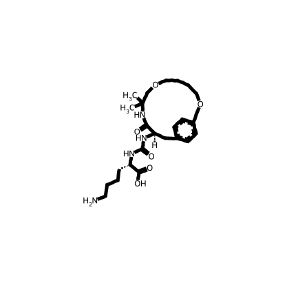 CC1(C)COCCCCOc2ccc(cc2)C[C@@H](NC(=O)N[C@@H](CCCCN)C(=O)O)C(=O)N1